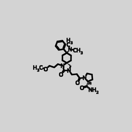 COCCCN1C(=O)N(CCC(=O)N2CCC[C@@H]2C(N)=O)C[C@]12CC[C@@](c1ccccc1)(N(C)C)CC2